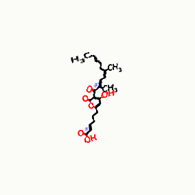 CCCCCC(C)=C/C=C(\C)C(=O)c1c(O)cc(CCC/C=C/C(=O)O)oc1=O